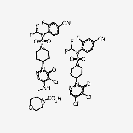 N#Cc1ccc(N(C(F)F)S(=O)(=O)N2CCC(n3ncc(Cl)c(Cl)c3=O)CC2)c(F)c1.N#Cc1ccc(N(C(F)F)S(=O)(=O)N2CCC(n3ncc(NC[C@H]4COCCN4C(=O)O)c(Cl)c3=O)CC2)c(F)c1